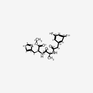 COC(=O)[C@H](Cc1cscn1)NC(=O)[C@H](C)NC(=O)Cc1cc(F)cc(F)c1